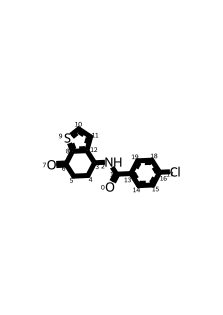 O=C(NC1CCC(=O)c2sccc21)c1ccc(Cl)cc1